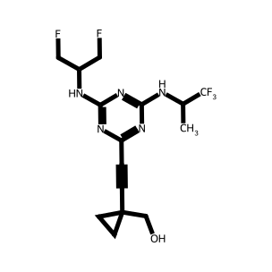 CC(Nc1nc(C#CC2(CO)CC2)nc(NC(CF)CF)n1)C(F)(F)F